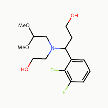 COC(CN(CCO)C(CCO)c1cccc(F)c1F)OC